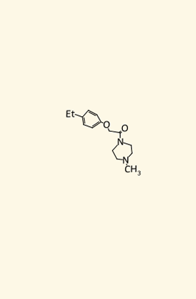 CCc1ccc(OCC(=O)N2CCN(C)CC2)cc1